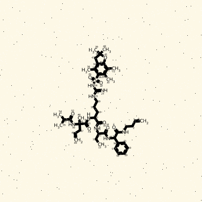 C=CCCNC(=O)C(NC(=O)C(CC)NC(=O)C(CCCNC(=N)NS(=O)(=O)c1c(C)c(C)c2c(c1C)CC(C)(C)O2)NC(=O)C(C)(CC=C)NC(=O)C(C)C)c1ccccc1